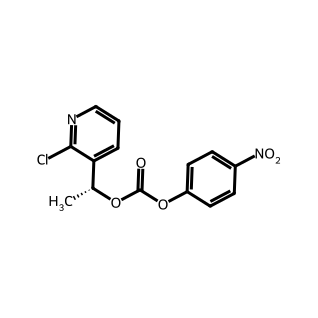 C[C@@H](OC(=O)Oc1ccc([N+](=O)[O-])cc1)c1cccnc1Cl